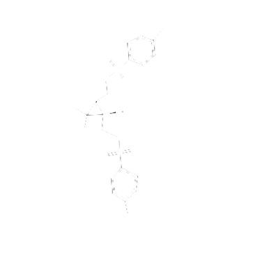 Cc1ccc(S(=O)(=O)OC[C@]2(O)C(C)(C)[C@@]2(O)COS(=O)(=O)c2ccc(C)cc2)cc1